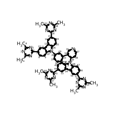 Cc1nc(C)nc(-c2ccc3c(c2)c2cc(-c4nc(C)nc(C)n4)ccc2n3-c2ccc(C(F)(F)F)c(-c3cnccc3-n3c4ccc(-c5nc(C)nc(C)n5)cc4c4cc(-c5nc(C)nc(C)n5)ccc43)c2)n1